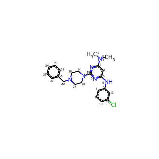 CN(C)c1cc(Nc2cccc(Cl)c2)nc(N2CCN(Cc3ccccc3)CC2)n1